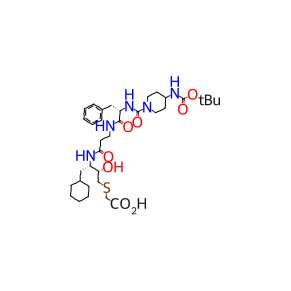 CC(C)(C)OC(=O)NC1CCN(C(=O)N[C@@H](Cc2ccccc2)C(=O)NCCC(=O)N[C@@H](CC2CCCCC2)[C@H](O)CSCC(=O)O)CC1